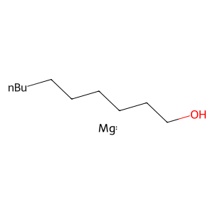 CCCCCCCCCCO.[Mg]